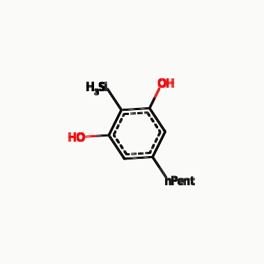 CCCCCc1cc(O)c([SiH3])c(O)c1